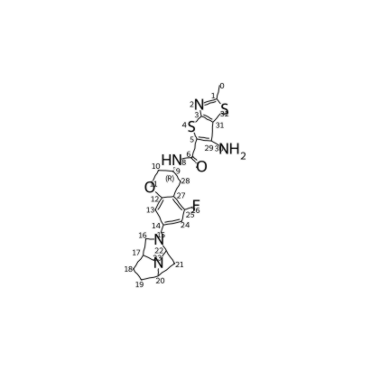 Cc1nc2sc(C(=O)N[C@H]3COc4cc(N5CC6CCC7CC5N76)cc(F)c4C3)c(N)c2s1